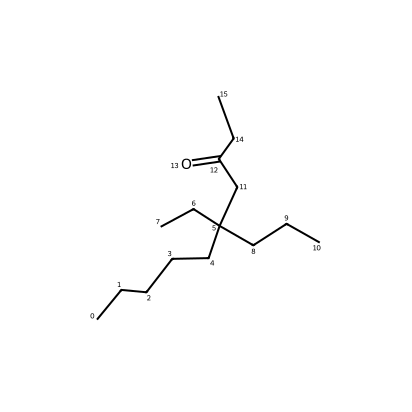 CCCCCC(CC)(CCC)CC(=O)CC